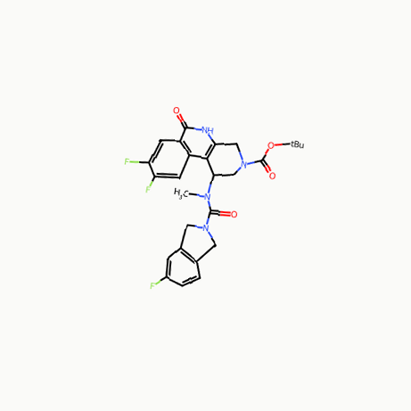 CN(C(=O)N1Cc2ccc(F)cc2C1)C1CN(C(=O)OC(C)(C)C)Cc2[nH]c(=O)c3cc(F)c(F)cc3c21